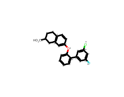 O=C(O)C1CCc2ccc(Oc3ccccc3-c3cc(F)cc(Cl)c3)cc2C1